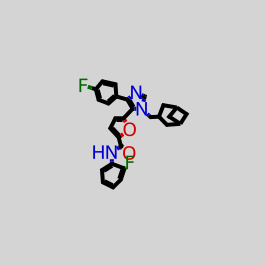 O=C(Nc1ccccc1F)c1ccc(-c2c(-c3ccc(F)cc3)ncn2CC2CC3CC(C3)C2)o1